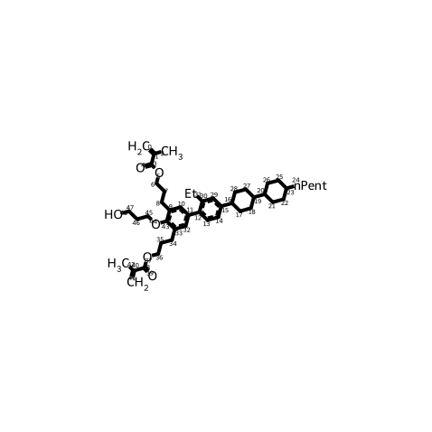 C=C(C)C(=O)OCCCc1cc(-c2ccc(C3CCC(C4CCC(CCCCC)CC4)CC3)cc2CC)cc(CCCOC(=O)C(=C)C)c1OCCCO